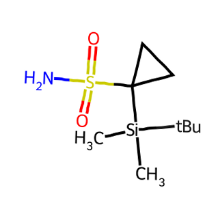 CC(C)(C)[Si](C)(C)C1(S(N)(=O)=O)CC1